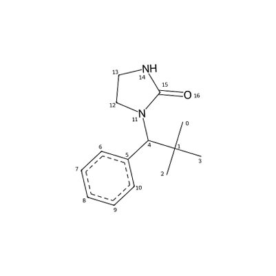 CC(C)(C)C(c1ccccc1)N1CCNC1=O